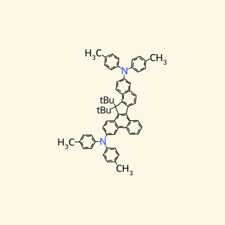 Cc1ccc(N(c2ccc(C)cc2)c2ccc3c4c(ccc3c2)-c2c(c3ccc(N(c5ccc(C)cc5)c5ccc(C)cc5)cc3c3ccccc23)C4(C(C)(C)C)C(C)(C)C)cc1